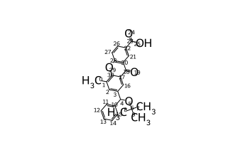 Cc1cc(C(OC(C)(C)C)c2ccccc2)cc2c(=O)c3cc(C(=O)O)ccc3oc12